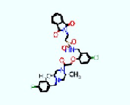 C[C@@H]1CN(Cc2ccc(F)cc2)[C@@H](C)CN1C(=O)COc1ccc(Cl)cc1CNS(=O)(=O)CCN1C(=O)c2ccccc2C1=O